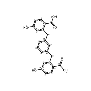 O=C(O)c1ccc(O)cc1Cc1cccc(Cc2cc(O)ccc2C(=O)O)c1